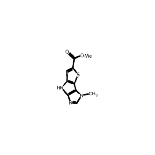 COC(=O)c1cc2[nH]c3ncn(C)c3c2s1